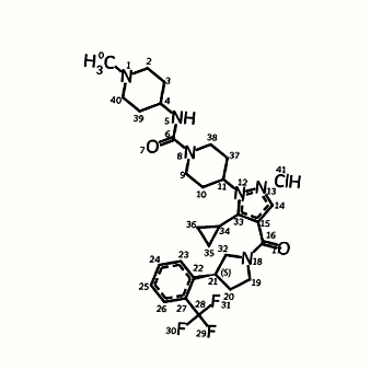 CN1CCC(NC(=O)N2CCC(n3ncc(C(=O)N4CC[C@@H](c5ccccc5C(F)(F)F)C4)c3C3CC3)CC2)CC1.Cl